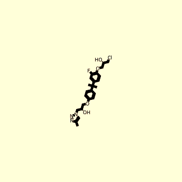 Cc1cn(C[C@@H](O)COc2ccc(C(C)(C)c3ccc(OC[C@H](O)CCl)c(F)c3)cc2)nn1